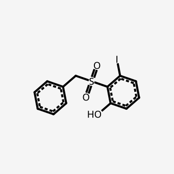 O=S(=O)(Cc1ccccc1)c1c(O)cccc1I